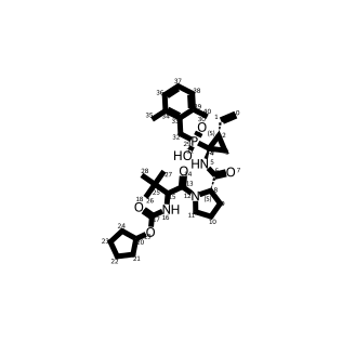 C=C[C@@H]1C[C@]1(NC(=O)[C@@H]1CCCN1C(=O)C(NC(=O)OC1CCCC1)C(C)(C)C)P(=O)(O)Cc1c(C)cccc1C